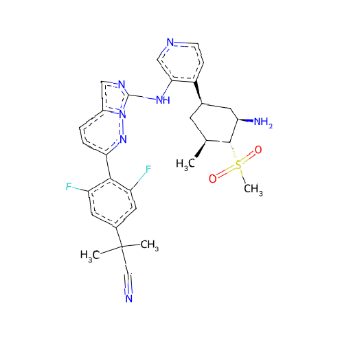 C[C@H]1C[C@@H](c2ccncc2Nc2ncc3ccc(-c4c(F)cc(C(C)(C)C#N)cc4F)nn23)C[C@@H](N)[C@@H]1S(C)(=O)=O